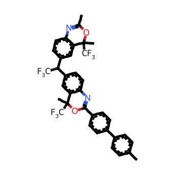 CC1=Nc2ccc(C(c3ccc4c(c3)C(C)(C(F)(F)F)OC(c3ccc(-c5ccc(C)cc5)cc3)=N4)C(F)(F)F)cc2C(C)(C(F)(F)F)O1